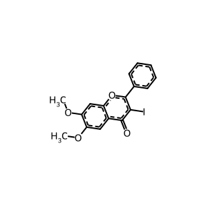 COc1cc2oc(-c3ccccc3)c(I)c(=O)c2cc1OC